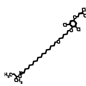 CCC(C)ON=CCCCCCCCCCCCCCCCOCCCCCOc1c(Cl)cc(OCC=C(Cl)Cl)cc1Cl